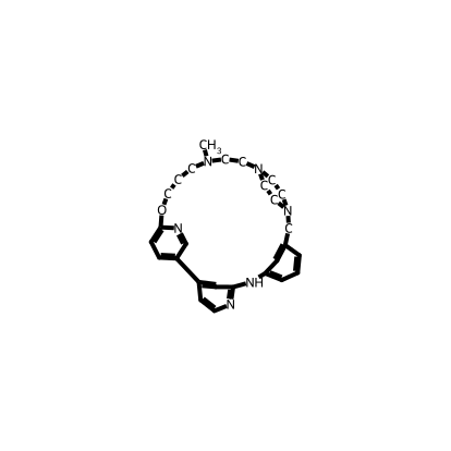 CN1CCCOc2ccc(cn2)-c2ccnc(c2)Nc2cccc(c2)CN2CCN(CC1)CC2